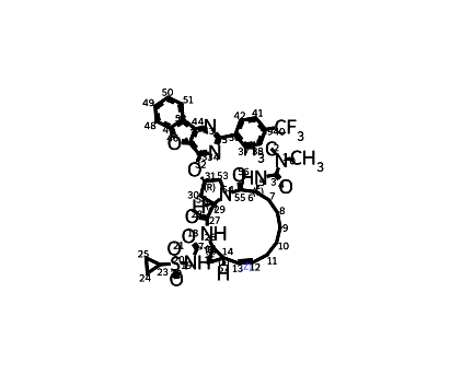 CN(C)C(=O)N[C@H]1CCCCC/C=C\[C@@H]2C[C@@]2(C(=O)NS(=O)(=O)C2CC2)NC(=O)[C@@H]2C[C@@H](Oc3nc(-c4ccc(C(F)(F)F)cc4)nc4c3oc3ccccc34)CN2C1=O